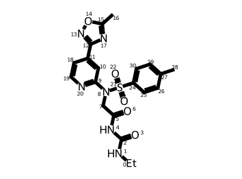 CCNC(=O)NC(=O)CN(c1cc(-c2noc(C)n2)ccn1)S(=O)(=O)c1ccc(C)cc1